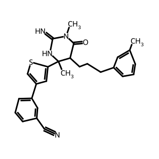 Cc1cccc(CCCC2C(=O)N(C)C(=N)NC2(C)c2cc(-c3cccc(C#N)c3)cs2)c1